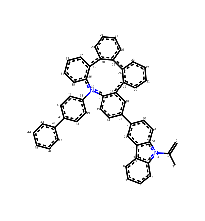 C=C(C)n1c2ccccc2c2cc(-c3ccc4c(c3)c3ccccc3c3ccccc3c3ccccc3n4-c3ccc(-c4ccccc4)cc3)ccc21